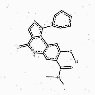 CCOc1cc2c(cc1C(=O)N(C)C)[nH]c(=O)c1cnc(-c3ccccc3)n12